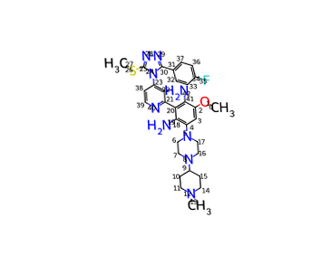 COc1cc(N2CCN(C3CCN(C)CC3)CC2)c(N)c(-c2cc(-n3c(SC)nnc3-c3ccc(F)cc3)ccn2)c1N